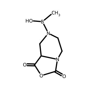 CB(O)N1CCN2C(=O)OC(=O)C2C1